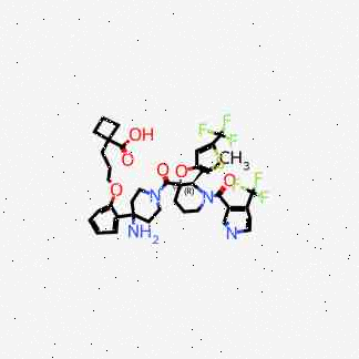 CCC[C@H]1N(C(=O)c2cnccc2C(F)(F)F)CCC[C@@]1(Oc1csc(C(F)(F)F)c1)C(=O)N1CCC(N)(c2ccccc2OCCCC2(C(=O)O)CCC2)CC1